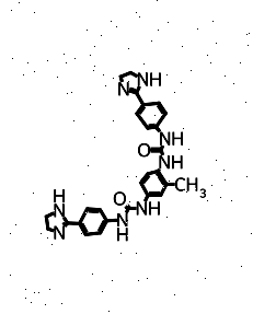 Cc1cc(NC(=O)Nc2ccc(C3=NCCN3)cc2)ccc1NC(=O)Nc1ccc(C2=NCCN2)cc1